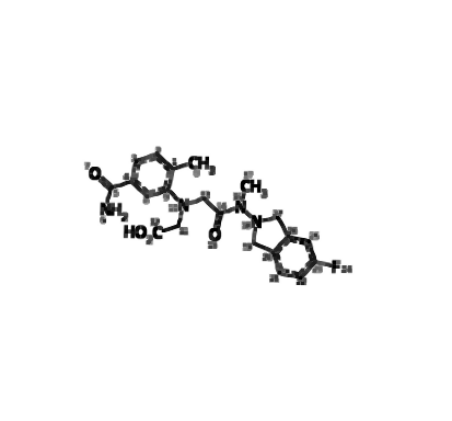 Cc1ccc(C(N)=O)cc1N(CC(=O)O)CC(=O)N(C)N1Cc2ccc(F)cc2C1